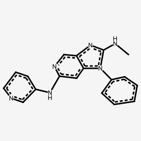 CNc1nc2cnc(Nc3cccnc3)cc2n1-c1ccccc1